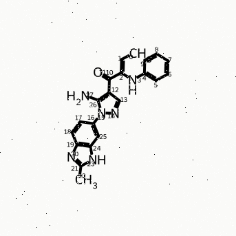 C/C=C(\Nc1ccccc1)C(=O)c1cnn(-c2ccc3nc(C)[nH]c3c2)c1N